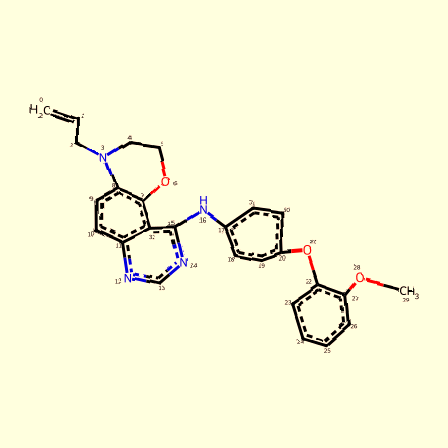 C=CCN1CCOc2c1ccc1ncnc(Nc3ccc(Oc4ccccc4OC)cc3)c21